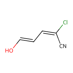 N#C/C(Cl)=C\C=C\O